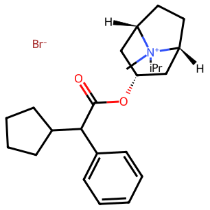 CC(C)[N+]1(C)[C@@H]2CC[C@H]1C[C@@H](OC(=O)C(c1ccccc1)C1CCCC1)C2.[Br-]